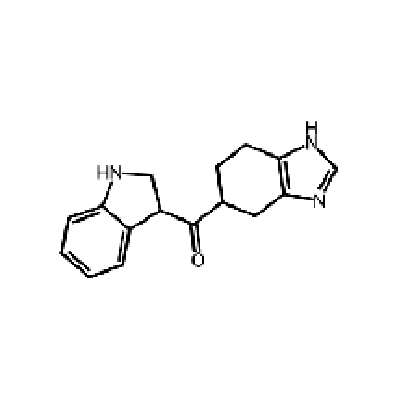 O=C(C1CCc2[nH]cnc2C1)C1CNc2ccccc21